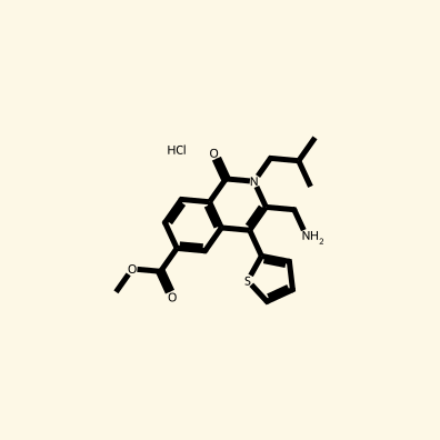 COC(=O)c1ccc2c(=O)n(CC(C)C)c(CN)c(-c3cccs3)c2c1.Cl